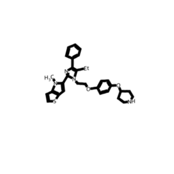 CCc1c(-c2ccccc2)nc(-c2cc3sccc3n2C)n1CCOc1ccc(OC2CCNCC2)cc1